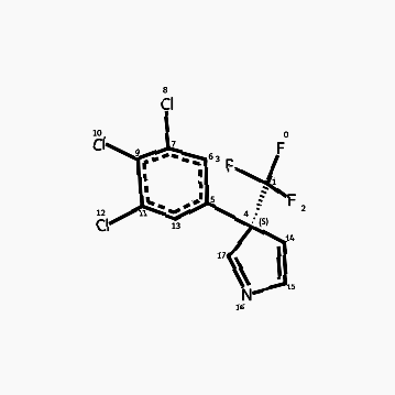 FC(F)(F)[C@]1(c2cc(Cl)c(Cl)c(Cl)c2)C=CN=C1